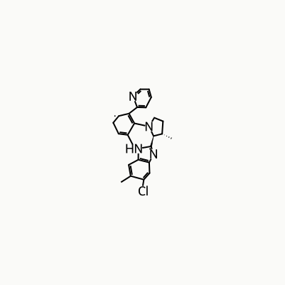 CC1=CC[CH]C(c2ccccn2)=C1N1CC[C@H](C)[C@H]1c1nc2cc(Cl)c(C)cc2[nH]1